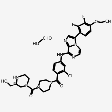 N#CCOc1ccc(-c2cnc3c(Nc4ccc(C(=O)N5CCN(C(=O)N6CCN[C@H](CO)C6)CC5)c(Cl)c4)nccn23)c(F)c1F.O=CO